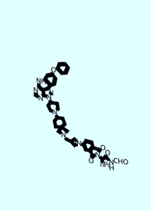 CCCC(C(=O)NC=O)N1C(=O)c2ccc(N3CC(CN4CC5(CCC(N6CCC(n7nc(-c8ccc(Oc9ccccc9)cc8)c8c(N)ncnc87)CC6)CC5)C4)C3)cc2C1=O